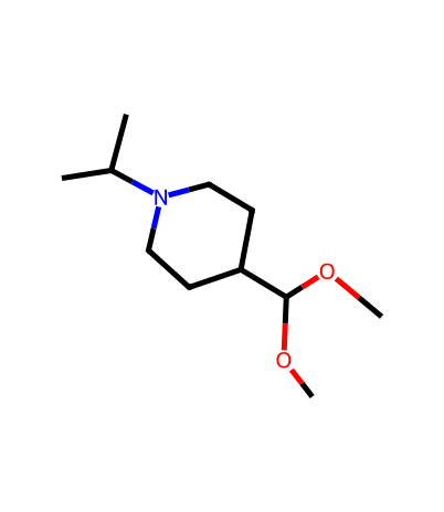 COC(OC)C1CCN(C(C)C)CC1